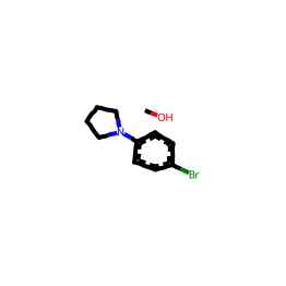 Brc1ccc(N2CCCC2)cc1.CO